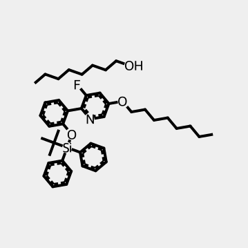 CCCCCCCCO.CCCCCCCCOc1cnc(-c2ccccc2O[Si](c2ccccc2)(c2ccccc2)C(C)(C)C)c(F)c1